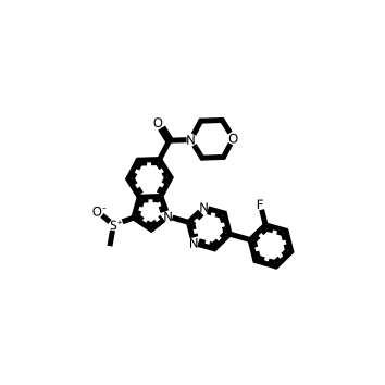 C[S+]([O-])c1cn(-c2ncc(-c3ccccc3F)cn2)c2cc(C(=O)N3CCOCC3)ccc12